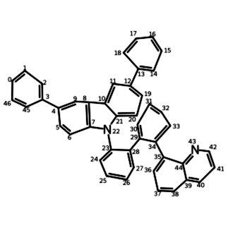 c1ccc(-c2ccc3c(c2)c2cc(-c4ccccc4)ccc2n3-c2ccccc2-c2ccccc2-c2cccc3cccnc23)cc1